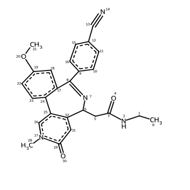 CCNC(=O)CC1N=C(c2ccc(C#N)cc2)c2cc(OC)ccc2-c2cn(C)c(=O)cc21